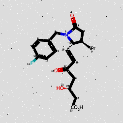 CC(C)[C@@H]1CC(=O)N(Cc2ccc(F)cc2)[C@H]1C=CC(=O)C[C@@H](O)CC(=O)O